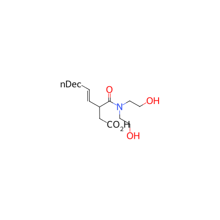 CCCCCCCCCCC=CC(CC(=O)O)C(=O)N(CCO)CCO